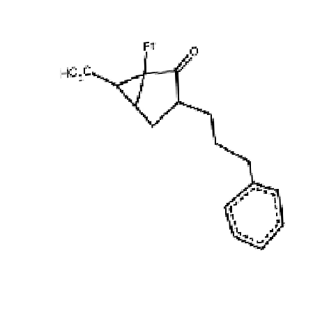 CCC12C(=O)C(CCCc3ccccc3)CC1C2C(=O)O